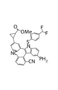 COC(=O)C1CC1c1cccc(-c2c(-c3c(C#N)cccc3C#N)c3cc(P)ccc3n2Sc2ccc(C(F)F)cc2)c1